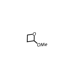 [CH2]OC1CCO1